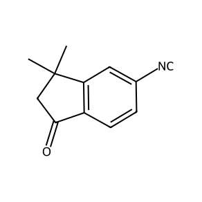 [C-]#[N+]c1ccc2c(c1)C(C)(C)CC2=O